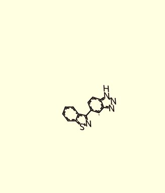 [c]1c(-c2nsc3ccccc23)ccc2[nH]nnc12